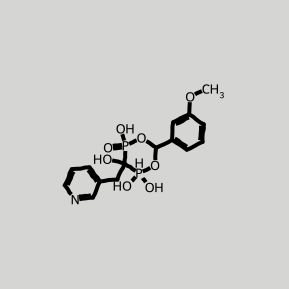 COc1cccc(C2OP(=O)(O)C(O)(Cc3cccnc3)[PH](O)(O)O2)c1